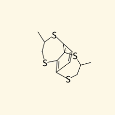 CC1CSc2c3ccc(c2SC(C)CS3)S1